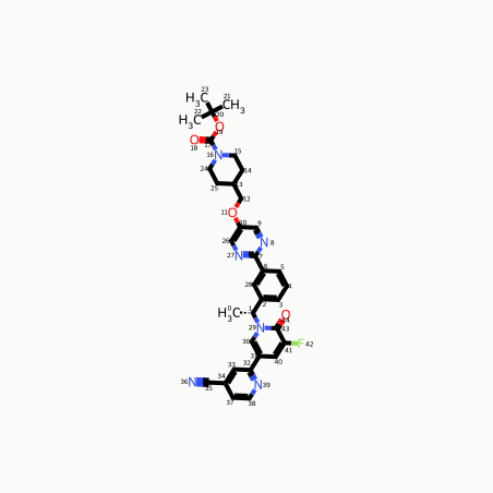 C[C@H](c1cccc(-c2ncc(OCC3CCN(C(=O)OC(C)(C)C)CC3)cn2)c1)n1cc(-c2cc(C#N)ccn2)cc(F)c1=O